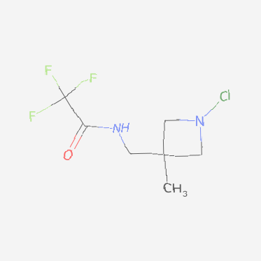 CC1(CNC(=O)C(F)(F)F)CN(Cl)C1